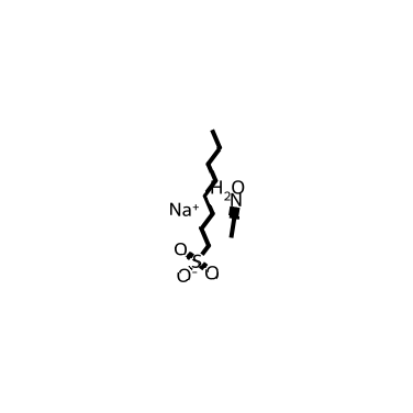 CC#N.CCCCCCCCS(=O)(=O)[O-].O.[Na+]